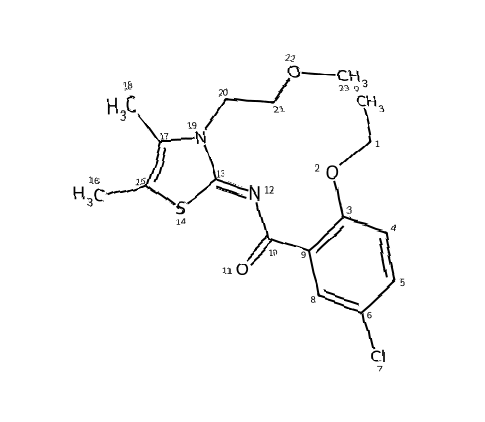 CCOc1ccc(Cl)cc1C(=O)/N=c1\sc(C)c(C)n1CCOC